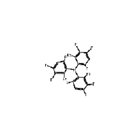 CCc1c(F)c(F)cc(F)c1B(c1c(F)cc(F)c(F)c1CC)c1c(F)cc(F)c(F)c1CC